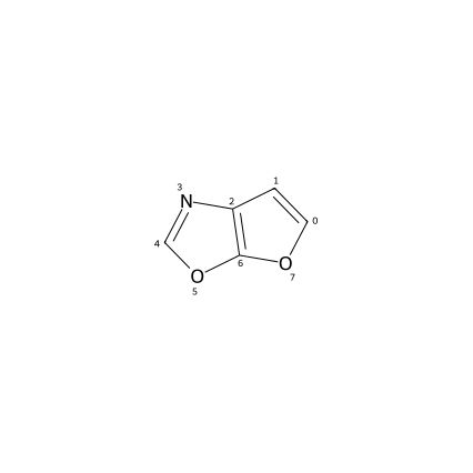 c1cc2ncoc2o1